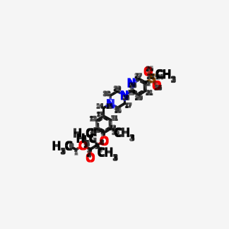 CCOC(=O)C(C)(C)Oc1c(C)cc(CN2CCN(c3ccc(S(C)(=O)=O)cn3)CC2)cc1C